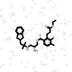 CCOC(=O)CCc1c([C@@H](C)OC[C@H](O)CNC(C)(C)CC2Cc3ccccc3C2)ccc(C)c1F